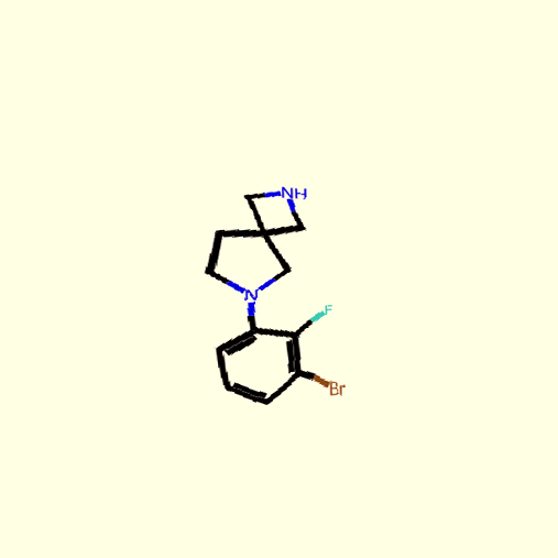 Fc1c(Br)cccc1N1CCC2(CNC2)C1